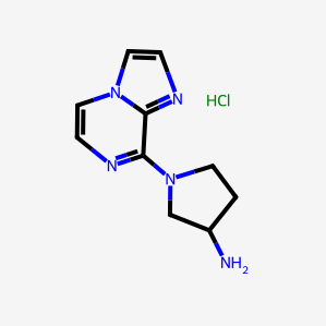 Cl.NC1CCN(c2nccn3ccnc23)C1